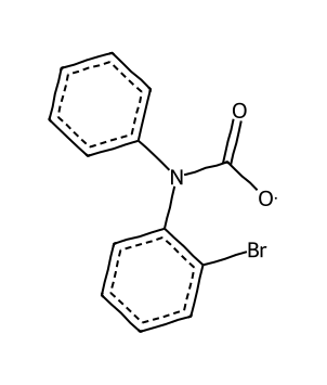 [O]C(=O)N(c1ccccc1)c1ccccc1Br